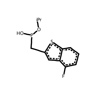 CC(C)OP(O)Cc1cc2c(F)cccc2s1